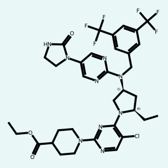 CCOC(=O)C1CCN(c2ncc(Cl)c(N3C[C@@H](N(Cc4cc(C(F)(F)F)cc(C(F)(F)F)c4)c4ncc(N5CCNC5=O)cn4)C[C@H]3CC)n2)CC1